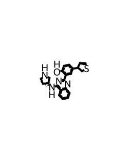 Oc1ccc(C2C=CSC2)cc1-c1nc(N[C@H]2CCNC2)c2ccccc2n1